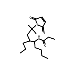 CCCCC(NC(=O)CC)C(CCC)CC(C)(C)N1C(=O)C=CC1=O